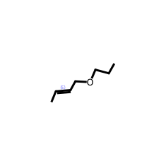 C/C=C/COCCC